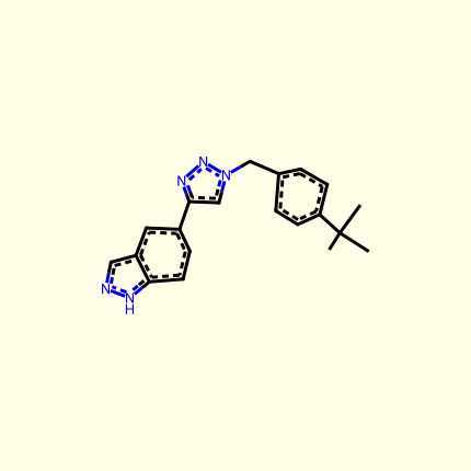 CC(C)(C)c1ccc(Cn2cc(-c3ccc4[nH]ncc4c3)nn2)cc1